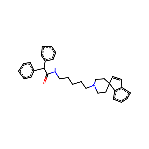 O=C(NCCCCCN1CCC2(C=Cc3ccccc32)CC1)C(c1ccccc1)c1ccccc1